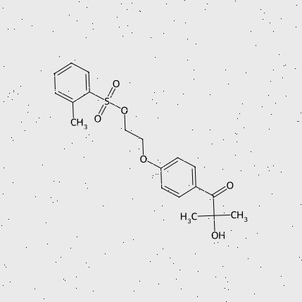 Cc1ccccc1S(=O)(=O)OCCOc1ccc(C(=O)C(C)(C)O)cc1